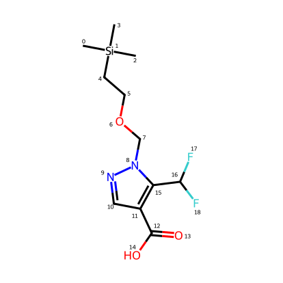 C[Si](C)(C)CCOCn1ncc(C(=O)O)c1C(F)F